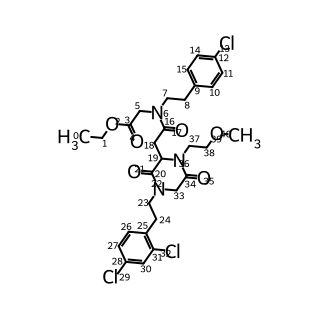 CCOC(=O)CN(CCc1ccc(Cl)cc1)C(=O)CC1C(=O)N(CCc2ccc(Cl)cc2Cl)CC(=O)N1CCOC